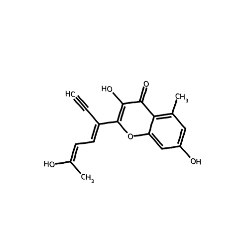 C#C/C(=C\C=C(/C)O)c1oc2cc(O)cc(C)c2c(=O)c1O